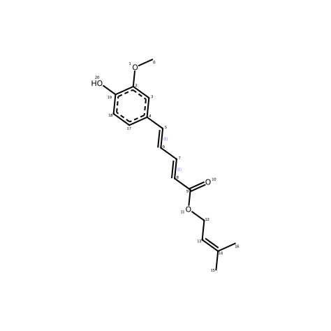 COc1cc(/C=C/C=C/C(=O)OCC=C(C)C)ccc1O